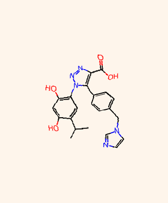 CC(C)c1cc(-n2nnc(C(=O)O)c2-c2ccc(Cn3ccnc3)cc2)c(O)cc1O